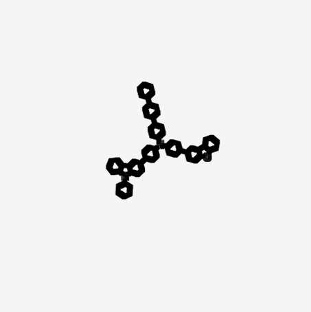 c1ccc(-c2ccc(-c3ccc(N(c4ccc(-c5ccc6oc7ccccc7c6c5)cc4)c4ccc(-c5ccc6c(c5)c5ccccc5n6-c5ccccc5)cc4)cc3)cc2)cc1